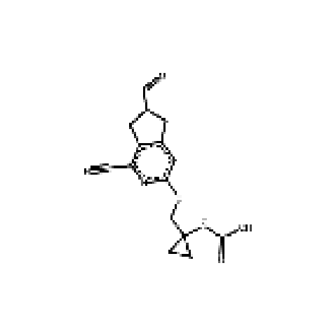 N#Cc1nc(OCC2(NC(=O)O)CC2)cc2c1CC(C=O)C2